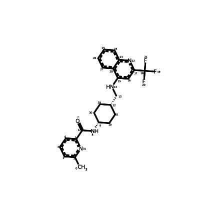 Cc1cccc(C(=O)N[C@H]2CC[C@@H](CNc3cc(C(F)(F)F)nc4ccccc34)CC2)n1